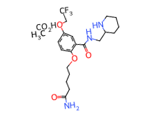 CC(=O)O.NC(=O)CCCCOc1ccc(OCC(F)(F)F)cc1C(=O)NCC1CCCCN1